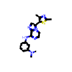 Cc1nc(C)c(-c2cnc3c(Nc4cccc(N(C)C)c4)nccn23)s1